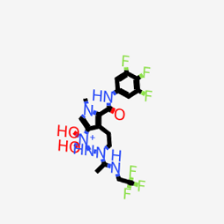 CC(NCC(F)(F)F)N1CCc2c(cn(C)c2C(=O)Nc2cc(F)c(F)c(F)c2)[N+](O)(O)N1